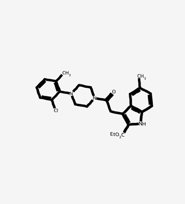 CCOC(=O)c1[nH]c2ccc(C)cc2c1CC(=O)N1CCN(c2c(C)cccc2Cl)CC1